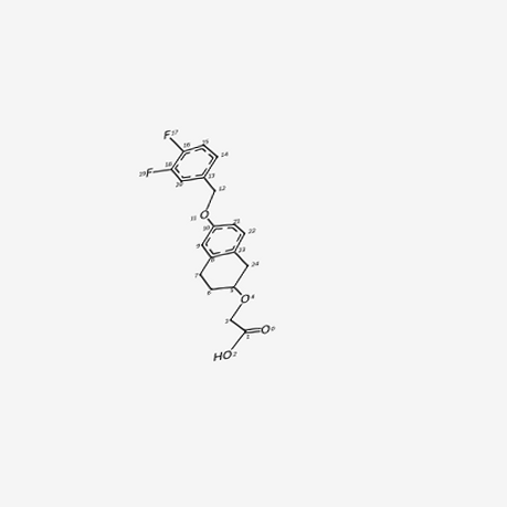 O=C(O)COC1CCc2cc(OCc3ccc(F)c(F)c3)ccc2C1